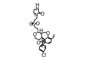 O=C1NCCN1CCS(=O)(=O)CC[C@@H]1OCC[C@@]2(S(=O)(=O)c3ccc(Cl)cc3)c3c(F)ccc(F)c3OC[C@@H]12